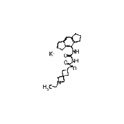 CCN1CC2(CC(S(=O)(=O)NC(=O)Nc3c4c(cc5c3CCC5)CCC4)C2)C1.[K]